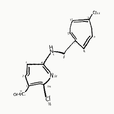 O=Cc1ccc(NCc2ccc(Cl)cc2)nc1Cl